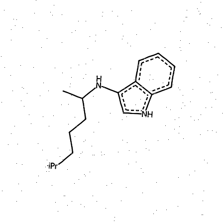 C[C](C)CCCC(C)Nc1c[nH]c2ccccc12